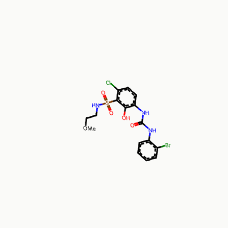 COCCNS(=O)(=O)c1c(Cl)ccc(NC(=O)Nc2ccccc2Br)c1O